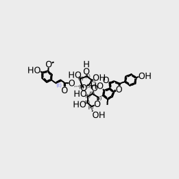 COc1cc(/C=C/C(=O)OC[C@H]2O[C@@H](O[C@@H]3[C@@H](O)[C@H](O)[C@@H](CO)O[C@H]3c3c(C)cc4oc(-c5ccc(O)cc5)cc(=O)c4c3O)[C@H](O)[C@@H](O)[C@@H]2O)ccc1O